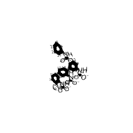 O=C([O-])Nc1ccccc1.O=C([O-])Nc1ccccc1.O=C([O-])Nc1ccccc1.O=C([O-])Nc1ccccc1.[C+4]